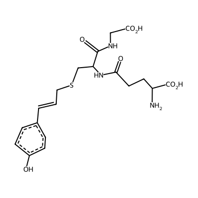 NC(CCC(=O)NC(CSCC=Cc1ccc(O)cc1)C(=O)NCC(=O)O)C(=O)O